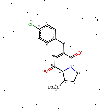 CCOC(=O)C1CCN2C(=O)C(Cc3ccc(Cl)cc3)=CC(=O)C12